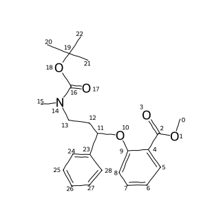 COC(=O)c1ccccc1OC(CCN(C)C(=O)OC(C)(C)C)c1ccccc1